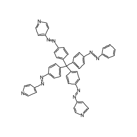 c1ccc(/N=N/c2ccc(C(c3ccc(/N=N/c4ccncc4)cc3)(c3ccc(/N=N/c4ccncc4)cc3)c3ccc(/N=N/c4ccncc4)cc3)cc2)cc1